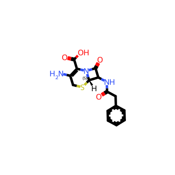 NC1=C(C(=O)O)N2C(=O)C(NC(=O)Cc3ccccc3)[C@@H]2SC1